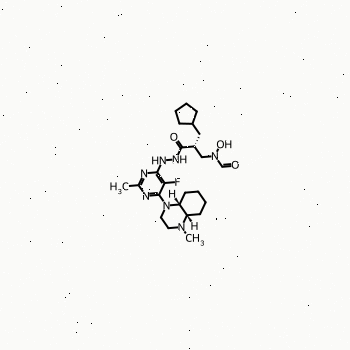 Cc1nc(NNC(=O)[C@H](CC2CCCC2)CN(O)C=O)c(F)c(N2CCN(C)[C@H]3CCCC[C@H]32)n1